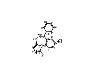 Cc1ncc2n1-c1ccc(Cl)cc1C(c1ccccc1)=NC2